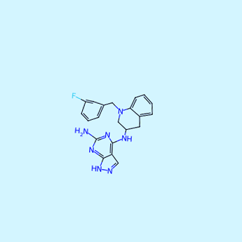 Nc1nc(NC2Cc3ccccc3N(Cc3cccc(F)c3)C2)c2cn[nH]c2n1